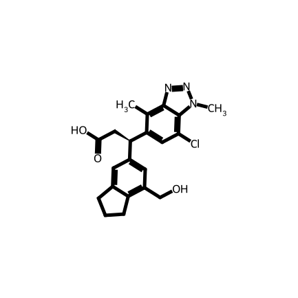 Cc1c([C@H](CC(=O)O)c2cc(CO)c3c(c2)CCC3)cc(Cl)c2c1nnn2C